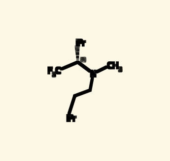 CC(C)CCN(C)[C@@H](C(C)C)C(F)(F)F